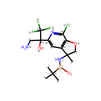 CC1(N[S+]([O-])C(C)(C)C)COc2c1cc(C(O)(CN)C(F)(F)F)nc2Cl